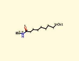 CCCCCCCCCCCCCCCC(=O)NC(C)CC